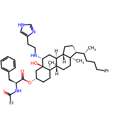 CCC(=O)N[C@@H](Cc1ccccc1)C(=O)O[C@H]1CC[C@]2(C)[C@H]3CC[C@]4(C)[C@@H]([C@H](C)CCCC(C)C)CC[C@H]4[C@@H]3C[C@@H](NCCc3c[nH]cn3)[C@@]2(O)C1